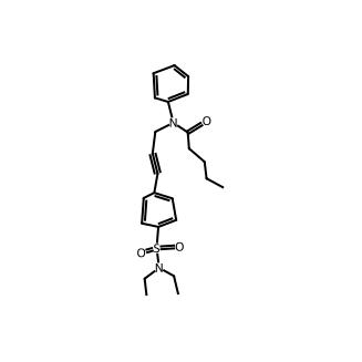 CCCCC(=O)N(CC#Cc1ccc(S(=O)(=O)N(CC)CC)cc1)c1ccccc1